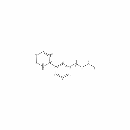 CSCNc1cccc(N2N=CC=CN2)c1